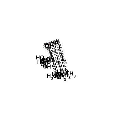 CN(C)CCCCCCCCCCCCCCCCCc1ccccc1.CN(C)CCCCCCCCCCCCCCCCCc1ccccc1.CN(C)CCCCCCCCCCCCCCCCCc1ccccc1.O=C(O)CC(O)(CC(=O)O)C(=O)O